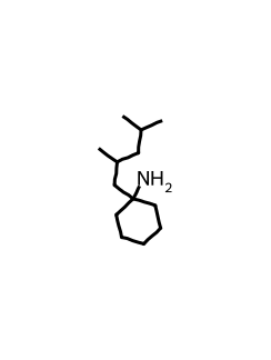 CC(C)CC(C)CC1(N)CCCCC1